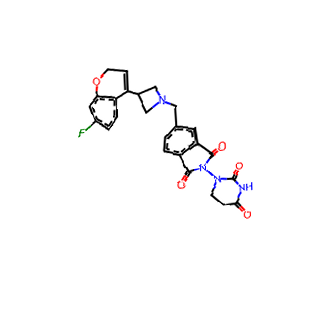 O=C1CCN(N2C(=O)c3ccc(CN4CC(C5=CCOc6cc(F)ccc65)C4)cc3C2=O)C(=O)N1